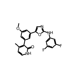 COc1cc(-c2cnc(Nc3cc(F)cc(F)c3)o2)cc(-c2c(C)cc[nH]c2=O)c1